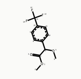 COC(=O)C(OC)c1ccc(C(F)(F)F)cc1